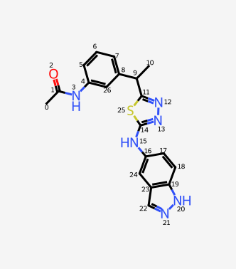 CC(=O)Nc1cccc(C(C)c2nnc(Nc3ccc4[nH]ncc4c3)s2)c1